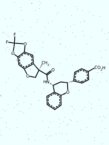 C[C@]1(C(=O)N[C@@H]2C[C@H](c3ccc(C(=O)O)cc3)Oc3ccccc32)COc2cc3c(cc21)OC(F)(F)O3